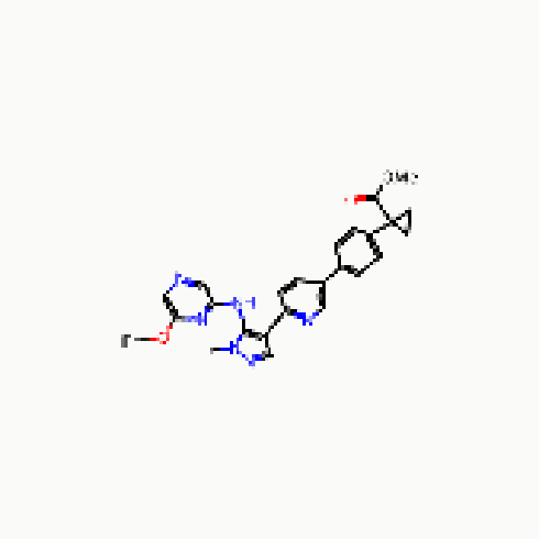 COC(=O)C1(c2ccc(-c3ccc(-c4cnn(C)c4Nc4cncc(OC(C)C)n4)nc3)cc2)CC1